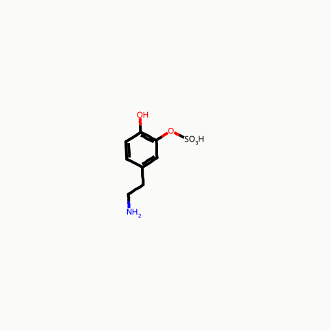 NCCc1ccc(O)c(OS(=O)(=O)O)c1